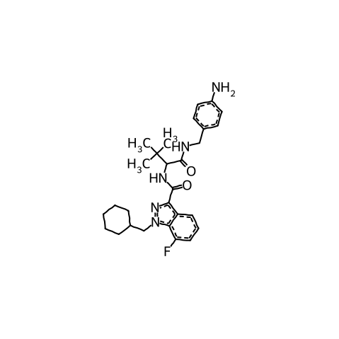 CC(C)(C)C(NC(=O)c1nn(CC2CCCCC2)c2c(F)cccc12)C(=O)NCc1ccc(N)cc1